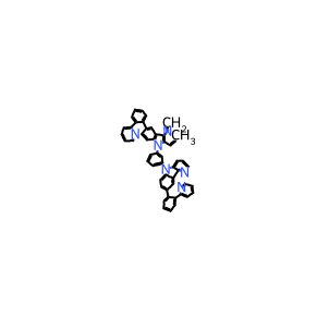 C=Nc1c(/C=C\C)n(-c2cccc(-n3c4ccc(-c5ccccc5-c5ccccn5)cc4c4ncccc43)c2)c2ccc(-c3ccccc3-c3ccccn3)cc12